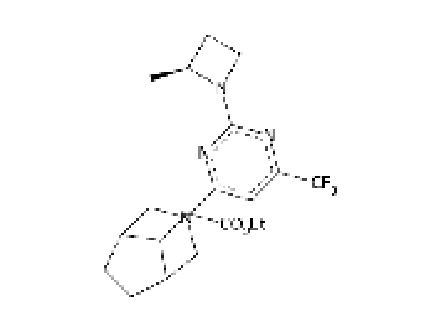 CCOC(=O)CC1C2CCC1CN(c1cc(C(F)(F)F)nc(N3CC[C@@H]3C)n1)C2